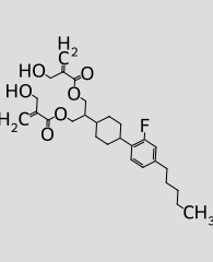 C=C(CO)C(=O)OCC(COC(=O)C(=C)CO)C1CCC(c2ccc(CCCCC)cc2F)CC1